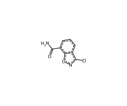 NC(=O)c1cccc2c(Cl)noc12